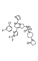 O=C1CCCN1C1CCN(S(=O)(=O)N[C@H]2CC3=C(c4ccn(C(F)F)n4)[C@H](c4ccc(F)cc4Cl)N=C(c4nccs4)N3C2)CC1